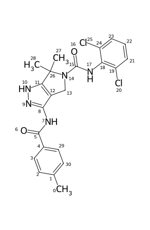 Cc1ccc(C(=O)Nc2n[nH]c3c2CN(C(=O)Nc2c(Cl)cccc2Cl)C3(C)C)cc1